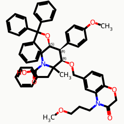 COCCCN1C(=O)COc2ccc(CO[C@@H]3[C@H](c4ccc(OC)cc4)[C@H](OC(c4ccccc4)(c4ccccc4)c4ccccc4)CN(C(=O)O)C3(C)Cc3ccccc3)cc21